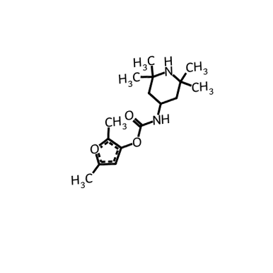 Cc1cc(OC(=O)NC2CC(C)(C)NC(C)(C)C2)c(C)o1